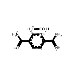 CC(=O)O.N=C(N)c1ccc(C(N)=O)cn1